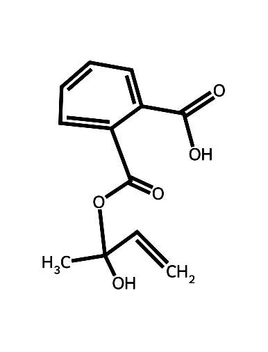 C=CC(C)(O)OC(=O)c1ccccc1C(=O)O